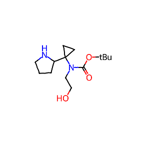 CC(C)(C)OC(=O)N(CCO)C1(C2CCCN2)CC1